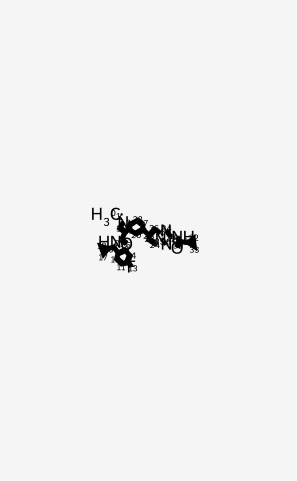 CCn1cc(C(=O)N[C@H](c2ccc(F)cc2)C2CC2)c2cc(-c3ccn4nc(NC(=O)C5CC5)nc4c3)ccc21